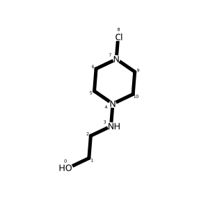 OCCNN1CCN(Cl)CC1